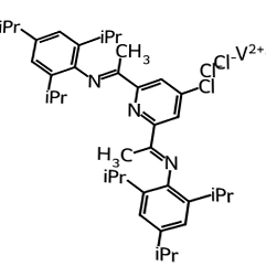 CC(=Nc1c(C(C)C)cc(C(C)C)cc1C(C)C)c1cc(Cl)cc(C(C)=Nc2c(C(C)C)cc(C(C)C)cc2C(C)C)n1.[Cl-].[Cl-].[V+2]